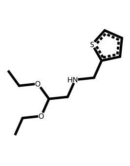 CCOC(CNCc1cccs1)OCC